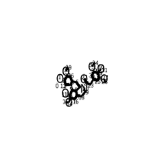 COc1ccc(C=C2c3cc(OC)c(OC)cc3CCN2C(=O)Cc2cc(OC)c(OC)c(OC)c2)cc1OC